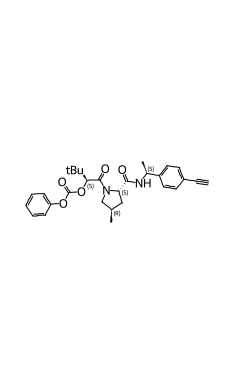 C#Cc1ccc([C@H](C)NC(=O)[C@@H]2C[C@@H](C)CN2C(=O)[C@@H](OC(=O)Oc2ccccc2)C(C)(C)C)cc1